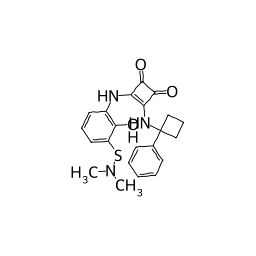 CN(C)Sc1cccc(Nc2c(NC3(c4ccccc4)CCC3)c(=O)c2=O)c1O